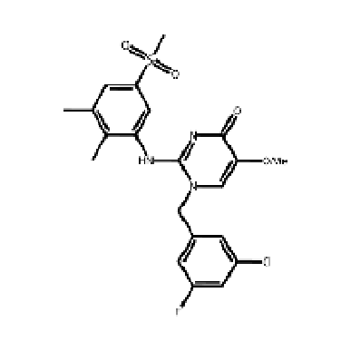 COc1cn(Cc2cc(F)cc(Cl)c2)c(Nc2cc(S(C)(=O)=O)cc(C)c2C)nc1=O